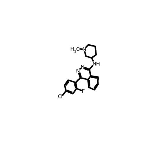 CN1CCCC(Nc2nnc(-c3ccc(Cl)cc3F)c3ccccc23)C1